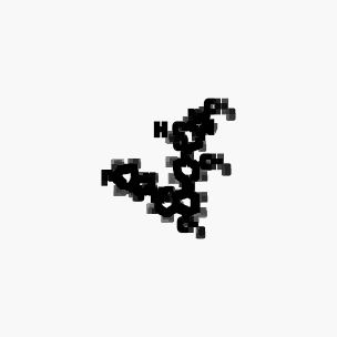 Cc1nc(C)n(CC(=O)N2CCN(c3ccc(C(F)(F)F)c4c3CN(c3nc5ccc(F)cc5s3)CC4)C[C@H]2C)n1